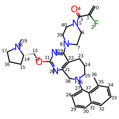 C=C(F)C(=O)N1CCN(c2nc(OC[C@@H]3CCCN3C)nc3c2CCCN(c2cccc4cccc(C)c24)C3)CC1